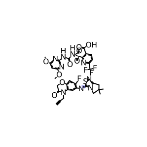 C#CCN1C(=O)COc2cc(F)c(/N=c3\snc4n3CC(C)(C)C4)cc21.COc1cc(OC)nc(NC(=O)NS(=O)(=O)c2nc(C(F)(F)F)ccc2C(=O)O)n1